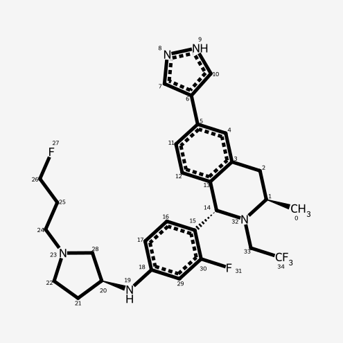 C[C@@H]1Cc2cc(-c3cn[nH]c3)ccc2[C@@H](c2ccc(N[C@H]3CCN(CCCF)C3)cc2F)N1CC(F)(F)F